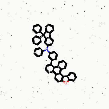 c1ccc(N(c2cccc(-c3cccc4c5ccc6oc7ccccc7c6c5c5ccccc5c34)c2)c2ccc3c(c2)C(c2ccccc2)(c2ccccc2)c2ccccc2-3)cc1